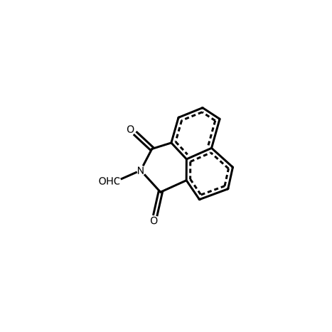 O=CN1C(=O)c2cccc3cccc(c23)C1=O